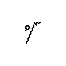 CCCCCCCCCCCC[N+](C)(C)CCC.Cc1ccccc1